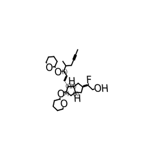 CC#CCC(C)[C@@H](C=C[C@@H]1[C@H]2CC(=C(F)CO)C[C@H]2C[C@H]1OC1CCCCO1)OC1CCCCO1